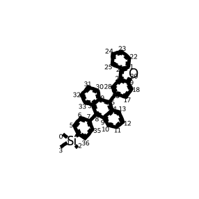 C[Si](C)(C)c1ccc(-c2c3ccccc3c(-c3ccc4oc5ccccc5c4c3)c3ccccc23)cc1